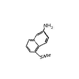 CSc1cccc2cc(N)ccc12